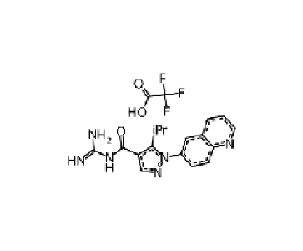 CC(C)c1c(C(=O)NC(=N)N)cnn1-c1ccc2ncccc2c1.O=C(O)C(F)(F)F